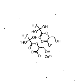 CC(O)(O)C(=O)OC(CO)C(=O)[O-].CC(O)(O)C(=O)OC(CO)C(=O)[O-].[Zn+2]